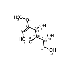 COC(=CO)[C@@H](O)[C@H](O)[C@H](O)CO